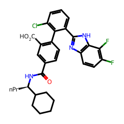 CCC[C@@H](NC(=O)c1ccc(-c2c(Cl)cccc2-c2nc3ccc(F)c(F)c3[nH]2)c(C(=O)O)c1)C1CCCCC1